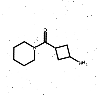 NC1CC(C(=O)N2CCCCC2)C1